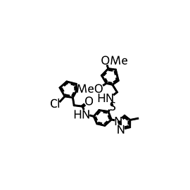 COc1ccc(CNSc2cc(NC(=O)Cc3ccccc3Cl)ccc2-n2cc(C)cn2)c(OC)c1